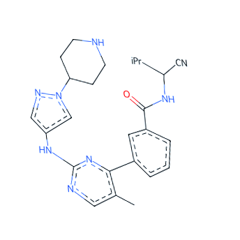 Cc1cnc(Nc2cnn(C3CCNCC3)c2)nc1-c1cccc(C(=O)NC(C#N)C(C)C)c1